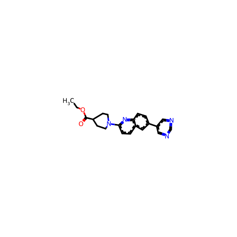 CCOC(=O)C1CCN(c2ccc3cc(-c4cncnc4)ccc3n2)CC1